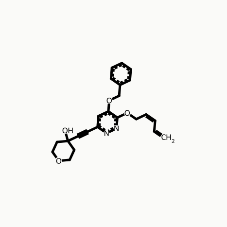 C=C/C=C\COc1nnc(C#CC2(O)CCOCC2)cc1OCc1ccccc1